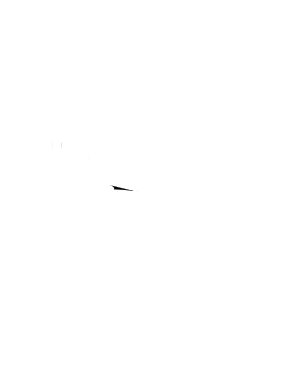 CCOC(=O)[C@H]1CC[C@H](C)CC1